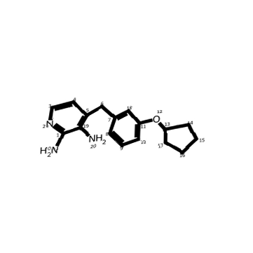 Nc1nccc(Cc2cccc(OC3CCCC3)c2)c1N